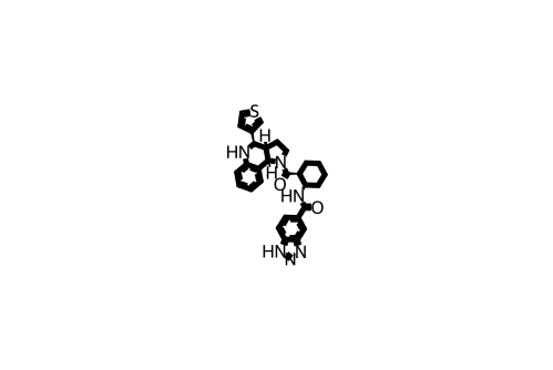 O=C(N[C@@H]1CCCC[C@@H]1C(=O)N1CC[C@H]2[C@H](c3ccsc3)Nc3ccccc3[C@@H]21)c1ccc2[nH]nnc2c1